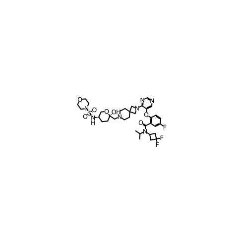 CC(C)N(C(=O)c1cc(F)ccc1Oc1cncnc1N1CC2(CCN(C[C@@]3(O)CC[C@@H](NS(=O)(=O)N4CCOCC4)CO3)CC2)C1)C1CC(F)(F)C1